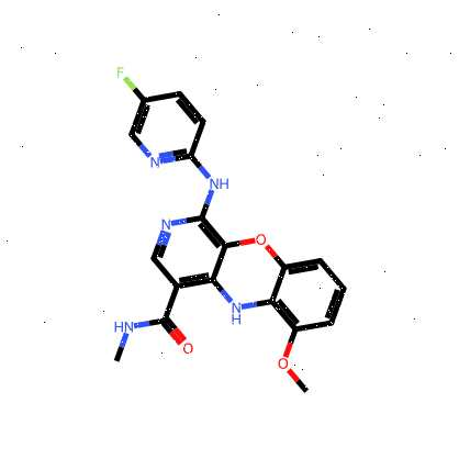 CNC(=O)c1cnc(Nc2ccc(F)cn2)c2c1Nc1c(OC)cccc1O2